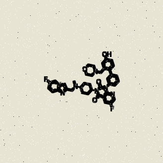 CN(Cc1cn2cc(F)ccc2n1)[C@H]1CC[C@@H](n2c(=O)c3cc(F)cnc3n(-c3cccc(-c4ccc(O)cc4CN4CCOCC4)c3)c2=O)CC1